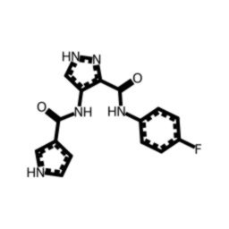 O=C(Nc1c[nH]nc1C(=O)Nc1ccc(F)cc1)c1cc[nH]c1